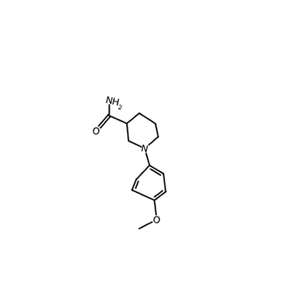 COc1ccc(N2CCCC(C(N)=O)C2)cc1